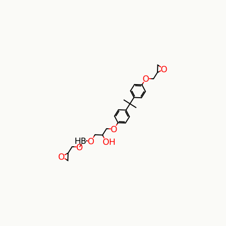 CC(C)(c1ccc(OCC(O)COBOCC2CO2)cc1)c1ccc(OCC2CO2)cc1